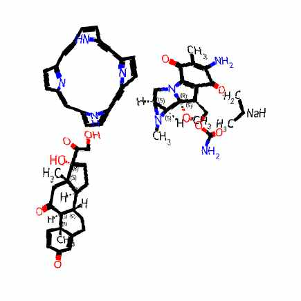 C1=Cc2cc3ccc(cc4nc(cc5ccc(cc1n2)[nH]5)C=C4)[nH]3.CO[C@@]12[C@H](COC(N)=O)C3=C(C(=O)C(C)=C(N)C3=O)N1C[C@H]1[C@@H]2N1C.C[C@]12C=CC(=O)C=C1CC[C@@H]1[C@@H]2C(=O)C[C@@]2(C)[C@H]1CC[C@]2(O)C(=O)CO.[CH2]CC.[NaH]